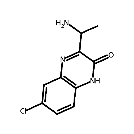 CC(N)c1nc2cc(Cl)ccc2[nH]c1=O